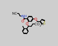 Cc1ccccc1C(CCC(=O)O)Oc1cc(OCc2ccsc2)ccc1C(=O)NCCC#N